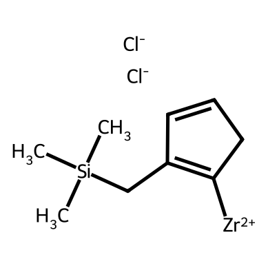 C[Si](C)(C)CC1=[C]([Zr+2])CC=C1.[Cl-].[Cl-]